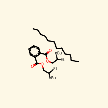 CCCCC(CC)COC(=O)c1ccccc1C(=O)OCC(CC)CCCC.CCCCCCCCCCCC